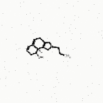 CCCN1CC2=C(C1)[C@H]1C(=CC2)C=CC[C@@H]1O